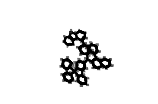 C1=CC2OC3=C(C=CCC3)C2C(c2ccc(N(c3ccc4c(c3)-c3ccccc3C4(c3ccccc3)c3ccccc3)c3ccc4ccccc4c3-c3ccccc3)cc2)=C1